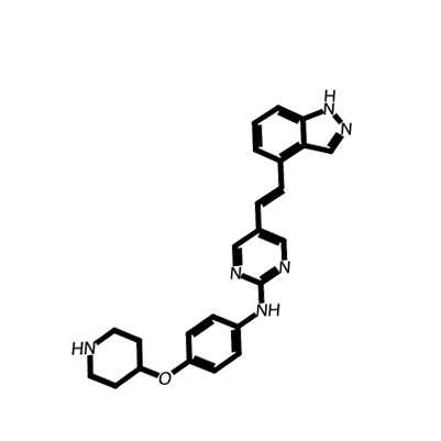 C(=Cc1cccc2[nH]ncc12)c1cnc(Nc2ccc(OC3CCNCC3)cc2)nc1